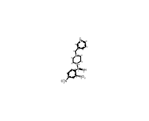 N=[N+](c1ccc([N+](=O)[O-])cc1[N+](=O)[O-])N1CCN(Cc2cccnc2)CC1